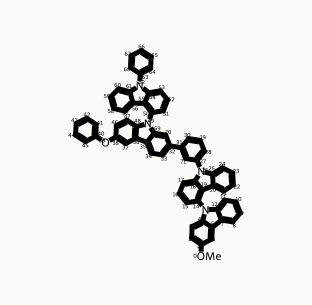 COc1ccc2c(c1)c1ccccc1n2-c1cccc2c1c1ccccc1n2-c1cccc(-c2ccc3c4cc(Oc5ccccc5)ccc4n(-c4cccc5c4c4ccccc4n5-c4ccccc4)c3c2)c1